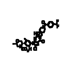 Cc1cc(-n2c(Cl)cc3c(=O)n(CC4(O)CCN(C(=O)c5ccc(C(F)F)cc5)CC4)cnc32)ccc1[C@H]1CO[C@H](C)CN1C(=O)O